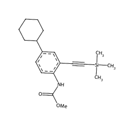 COC(=O)Nc1ccc(C2CCCCC2)cc1C#C[Si](C)(C)C